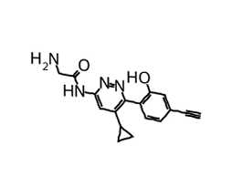 C#Cc1ccc(-c2nnc(NC(=O)CN)cc2C2CC2)c(O)c1